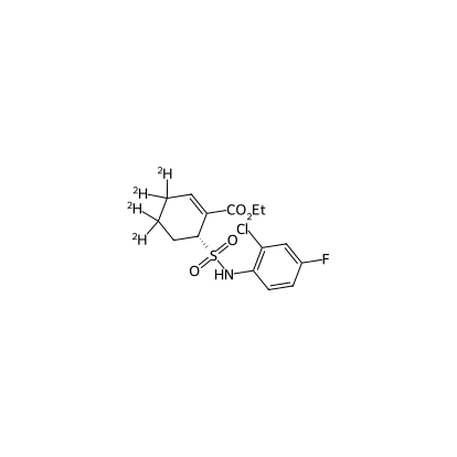 [2H]C1([2H])C=C(C(=O)OCC)[C@H](S(=O)(=O)Nc2ccc(F)cc2Cl)CC1([2H])[2H]